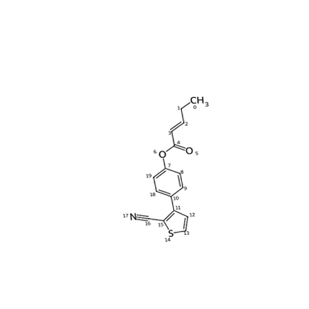 CC/C=C/C(=O)Oc1ccc(-c2ccsc2C#N)cc1